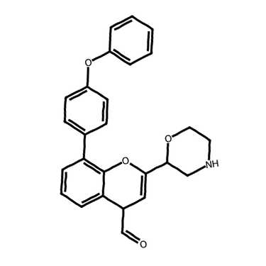 O=CC1C=C(C2CNCCO2)Oc2c(-c3ccc(Oc4ccccc4)cc3)cccc21